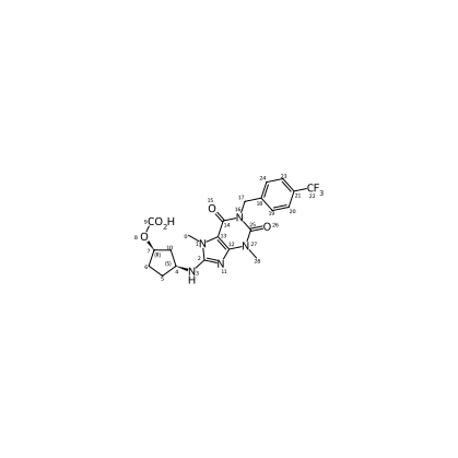 Cn1c(N[C@H]2CC[C@@H](OC(=O)O)C2)nc2c1c(=O)n(Cc1ccc(C(F)(F)F)cc1)c(=O)n2C